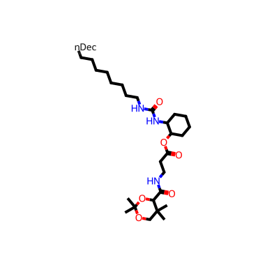 CCCCCCCCCCCCCCCCCCNC(=O)NC1CCCCC1OC(=O)CCNC(=O)C1OC(C)(C)OCC1(C)C